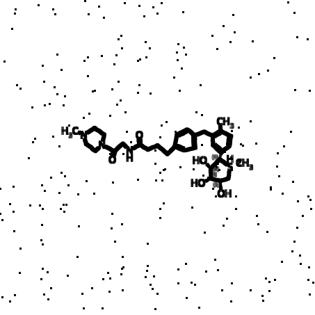 Cc1ccc([C@H]2[C@H](O)[C@H](O)[C@H](O)C[SH]2C)cc1Cc1ccc(CCCC(=O)NCC(=O)N2CCN(C)CC2)cc1